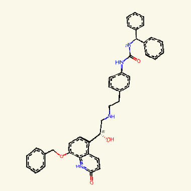 O=C(Nc1ccc(CCNC[C@H](O)c2ccc(OCc3ccccc3)c3[nH]c(=O)ccc23)cc1)NC(c1ccccc1)c1ccccc1